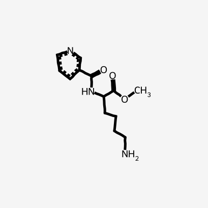 COC(=O)C(CCCCN)NC(=O)c1cccnc1